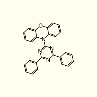 c1ccc(-c2nc(-c3ccccc3)nc(N3c4ccccc4Oc4ccccc43)n2)cc1